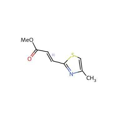 COC(=O)/C=C/c1nc(C)cs1